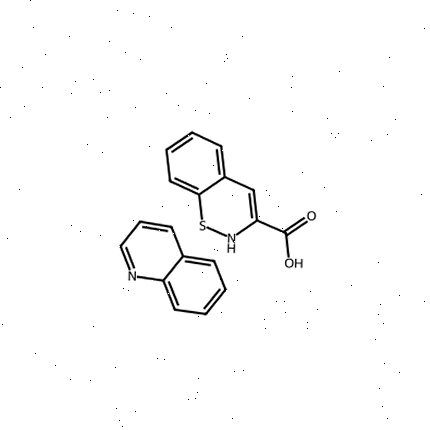 O=C(O)C1=Cc2ccccc2SN1.c1ccc2ncccc2c1